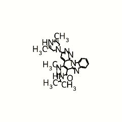 CNc1c(C(=O)NC(C)C)c2nc3ccccc3n2c2nnc(N3C[C@@H](C)N[C@@H](C)C3)cc12